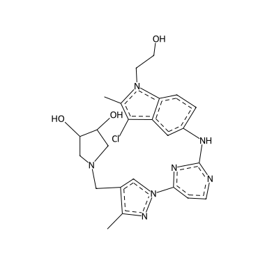 Cc1nn(-c2ccnc(Nc3ccc4c(c3)c(Cl)c(C)n4CCO)n2)cc1CN1CC(O)C(O)C1